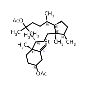 CC/C=C1/C[C@@H](OC(C)=O)CC[C@]1(C)[C@H](C)CC[C@@]1(C)[C@H](C)CC[C@@H]1[C@H](C)CCC(C)(C)OC(C)=O